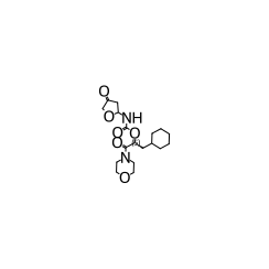 O=C1COC(NC(=O)O[C@@H](CC2CCCCC2)C(=O)N2CCOCC2)C1